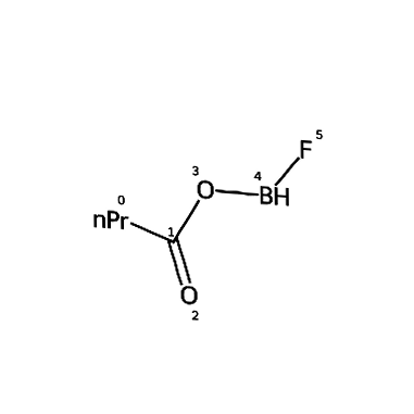 CCCC(=O)OBF